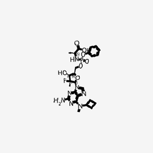 C[C@H](NP(=O)(OC[C@H]1O[C@@H](n2cnc3c(N(C)C4CCC4)nc(N)nc32)[C@](C)(F)[C@@H]1O)Oc1ccccc1)C(=O)O